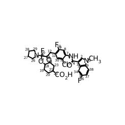 Cn1cc(C(=O)Nc2cc(F)c(CC(=O)C(F)(OC3CCC(C(=O)O)CC3)N3CCCC3)cc2Cl)c2cc(F)ccc21